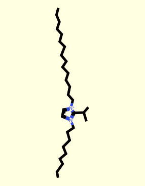 CCCCCCCCCCCCCCC[n+]1ccn(CCCCCCCCC)c1C(C)C